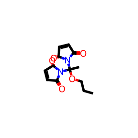 CCCOC(C)(N1C(=O)C=CC1=O)N1C(=O)C=CC1=O